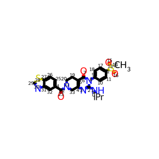 CC(C)Nc1nc2c(c(=O)n1-c1ccc(S(C)(=O)=O)cc1)CCN(C(=O)c1ccc3scnc3c1)C2